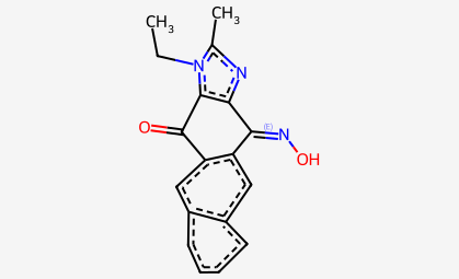 CCn1c(C)nc2c1C(=O)c1cc3ccccc3cc1/C2=N\O